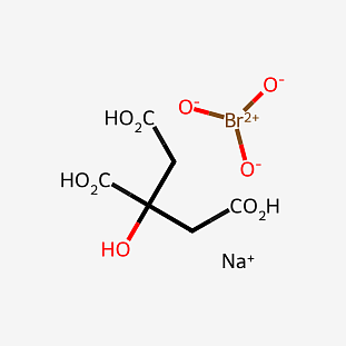 O=C(O)CC(O)(CC(=O)O)C(=O)O.[Na+].[O-][Br+2]([O-])[O-]